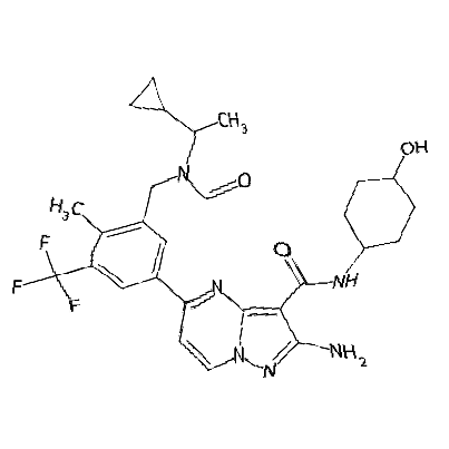 Cc1c(CN(C=O)C(C)C2CC2)cc(-c2ccn3nc(N)c(C(=O)NC4CCC(O)CC4)c3n2)cc1C(F)(F)F